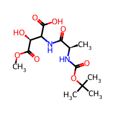 COC(=O)[C@@H](O)C(NC(=O)[C@@H](C)NC(=O)OC(C)(C)C)C(=O)O